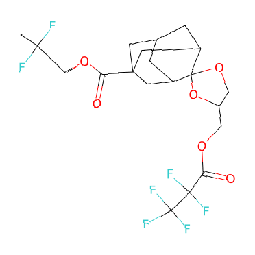 CC(F)(F)COC(=O)C12CC3CC(C1)C1(OCC(COC(=O)C(F)(F)C(F)(F)F)O1)C(C3)C2